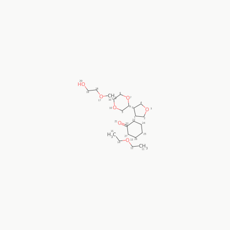 C1CCOC1.C1COCCO1.CCOCC.COCCO.O=C1CCCCC1